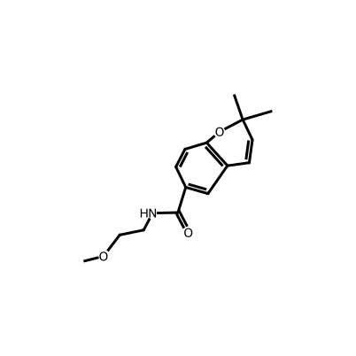 COCCNC(=O)c1ccc2c(c1)C=CC(C)(C)O2